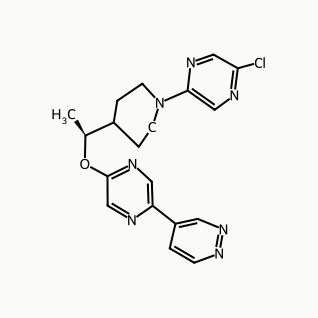 C[C@H](Oc1cnc(-c2ccnnc2)cn1)C1CCN(c2cnc(Cl)cn2)CC1